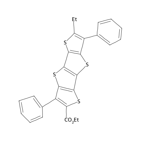 CCOC(=O)c1sc2c(sc3c4sc(CC)c(-c5ccccc5)c4sc23)c1-c1ccccc1